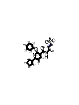 C[C@H](/C=C/S(C)(=O)=O)NC(=O)c1cc(F)c(C2=CCCC2)nc1Oc1ccccc1